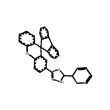 C1=CCC(C2NN=C(c3ccc4c(c3)C3(c5ccccc5O4)c4ccccc4-c4ccccc43)S2)C=C1